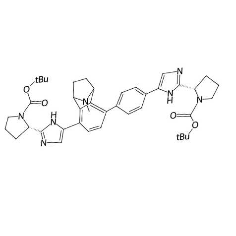 CN1C2CCC1c1c(-c3cnc([C@@H]4CCCN4C(=O)OC(C)(C)C)[nH]3)ccc(-c3ccc(-c4cnc([C@@H]5CCCN5C(=O)OC(C)(C)C)[nH]4)cc3)c12